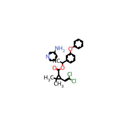 CC1(C)C(C=C(Cl)Cl)C1C(=O)OC(C#N)c1cccc(Oc2ccccc2)c1.Nc1cccnc1